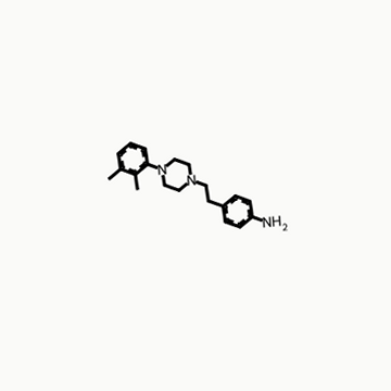 Cc1cccc(N2CCN(CCc3ccc(N)cc3)CC2)c1C